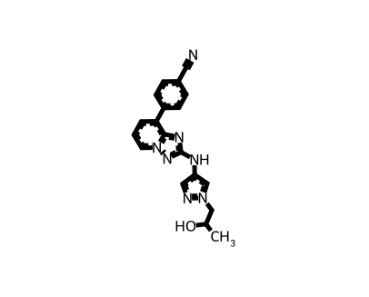 CC(O)Cn1cc(Nc2nc3c(-c4ccc(C#N)cc4)cccn3n2)cn1